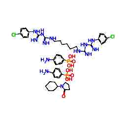 N=C(NCCCCCCNC(=N)NC(=N)Nc1ccc(Cl)cc1)NC(=N)Nc1ccc(Cl)cc1.Nc1ccc(P(=O)(O)O)cc1.Nc1ccc(P(=O)(O)O)cc1.O=C1CCCN1C1CCCCC1